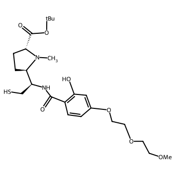 COCCOCCOc1ccc(C(=O)N[C@@H](CS)[C@H]2CC[C@H](C(=O)OC(C)(C)C)N2C)c(O)c1